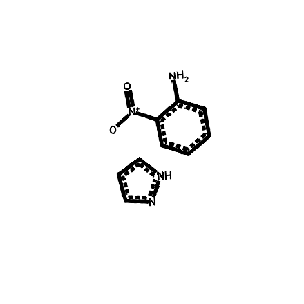 Nc1ccccc1[N+](=O)[O-].c1cn[nH]c1